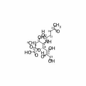 COC1(C(=O)O)CC(O)[C@@H](N[C@@H](O)CCC(C)=O)[C@H]([C@H](O)[C@H](O)CO)O1